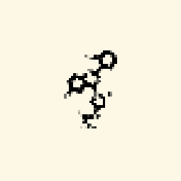 CC(C)COC(=O)NC1CCN(c2nc(-c3ccccc3O)nc3ccc(F)cc23)C1.Cl